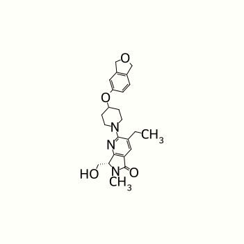 CCc1cc2c(nc1N1CCC(Oc3ccc4c(c3)COC4)CC1)[C@@H](CO)N(C)C2=O